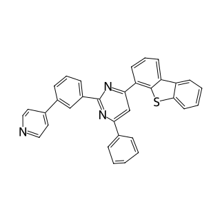 c1ccc(-c2cc(-c3cccc4c3sc3ccccc34)nc(-c3cccc(-c4ccncc4)c3)n2)cc1